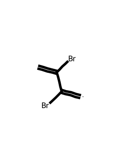 [CH]=C(Br)C(=C)Br